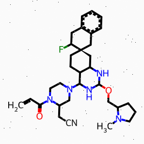 C=CC(=O)N1CCN(C2NC(OCC3CCCN3C)NC3C[C@]4(CCC32)Cc2ccccc2CC4F)CC1CC#N